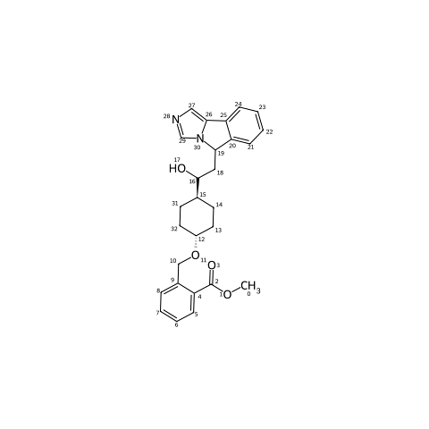 COC(=O)c1ccccc1CO[C@H]1CC[C@H](C(O)CC2c3ccccc3-c3cncn32)CC1